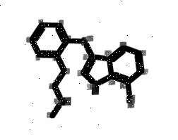 CNCCc1ccccc1Sc1c[nH]c2c(Cl)cccc12